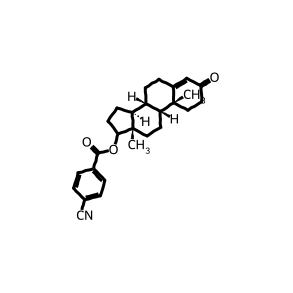 C[C@]12CCC(=O)C=C1CC[C@@H]1[C@H]2CC[C@]2(C)C(OC(=O)c3ccc(C#N)cc3)CC[C@@H]12